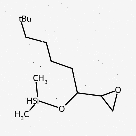 C[SiH](C)OC(CCCCC(C)(C)C)C1CO1